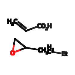 C=CC(=O)O.CC1CO1.CCC